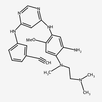 C#Cc1cccc(Nc2cc(Nc3cc(N)c(N(C)CCN(C)C)cc3OC)ncn2)c1